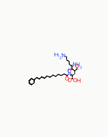 NCCCC[C@H](N)C(=O)C([C]=O)C[C@H](NC(=O)CCCCCCCCCCCc1ccccc1)C(=O)O